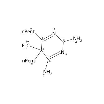 CCCCCC1=NC(N)N=C(N)C1(CCCCC)C(F)(F)F